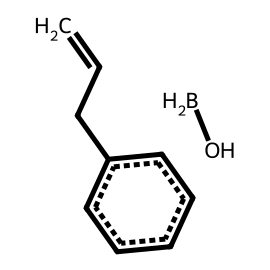 BO.C=CCc1ccccc1